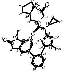 CN1C(=O)Cc2cc(-c3ccccc3-c3nc(N(C(=O)[C@@H](CC(=O)O)CC4CCCC4)C4CC4)sc3F)cnc21